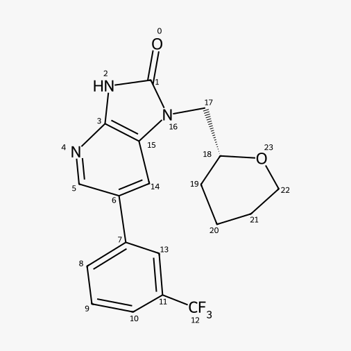 O=c1[nH]c2ncc(-c3cccc(C(F)(F)F)c3)cc2n1C[C@H]1CCCCO1